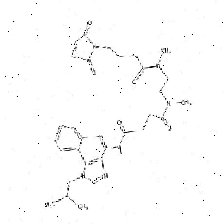 CC(C)Cn1cnc2c(NC(=O)CCC(=O)N(C)CCN(C)C(=O)CCCN3C(=O)C=CC3=O)nc3ccccc3c21